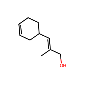 C/C(=C\C1CC=CCC1)CO